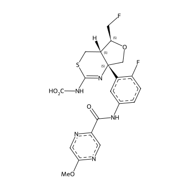 COc1cnc(C(=O)Nc2ccc(F)c([C@]34CO[C@H](CF)[C@H]3CSC(NC(=O)O)=N4)c2)cn1